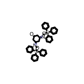 O=C1C/C(=N\O[Si](c2ccccc2)(c2ccccc2)c2ccccc2)C/C(=N\O[Si](c2ccccc2)(c2ccccc2)c2ccccc2)C1